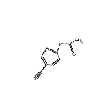 CC(=O)Sc1ccc(C#N)cc1